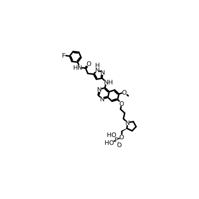 COc1cc2c(Nc3cc(CC(=O)Nc4cccc(F)c4)[nH]n3)ncnc2cc1OCCCN1CCC[C@H]1COP(=O)(O)O